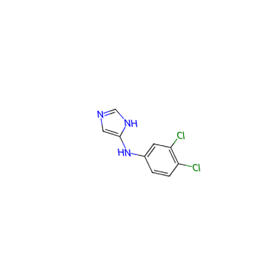 Clc1ccc(Nc2cnc[nH]2)cc1Cl